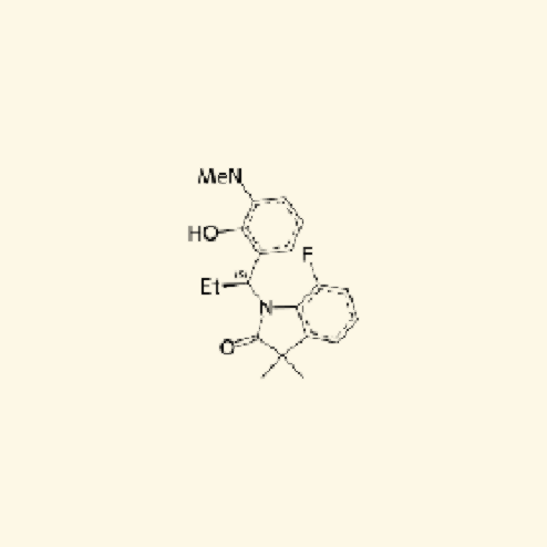 CC[C@@H](c1cccc(NC)c1O)N1C(=O)C(C)(C)c2cccc(F)c21